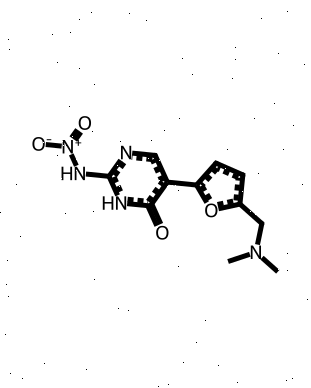 CN(C)Cc1ccc(-c2cnc(N[N+](=O)[O-])[nH]c2=O)o1